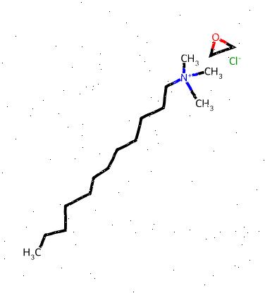 C1CO1.CCCCCCCCCCCC[N+](C)(C)C.[Cl-]